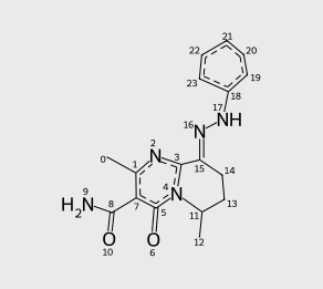 Cc1nc2n(c(=O)c1C(N)=O)C(C)CC/C2=N\Nc1ccccc1